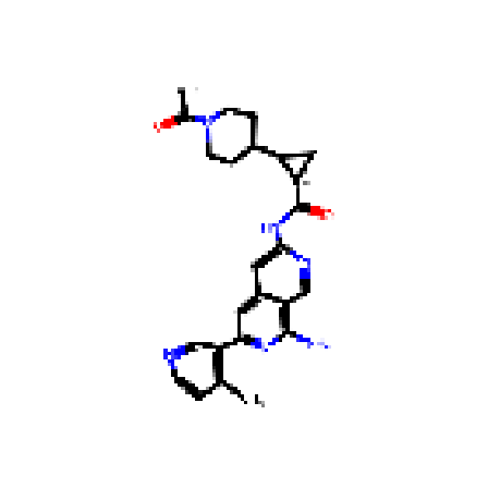 CC(=O)N1CCC(C2C[C@H]2C(=O)Nc2cc3cc(-c4cnccc4C)nc(N)c3cn2)CC1